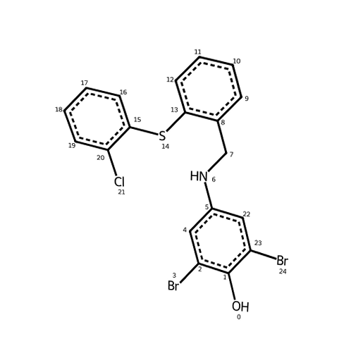 Oc1c(Br)cc(NCc2ccccc2Sc2ccccc2Cl)cc1Br